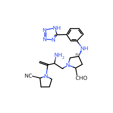 C=C(C(N)CN1C[C@@H](Nc2cccc(-c3nnn[nH]3)c2)CC1C=O)N1CCCC1C#N